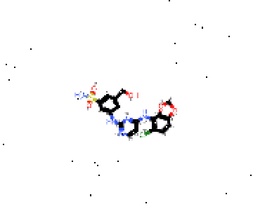 NS(=O)(=O)c1cc(CO)cc(Nc2nccc(Nc3c(Cl)ccc4c3OCO4)n2)c1